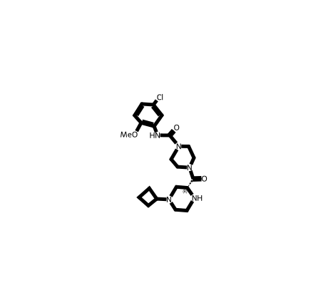 COc1ccc(Cl)cc1NC(=O)N1CCN(C(=O)[C@H]2CN(C3CCC3)CCN2)CC1